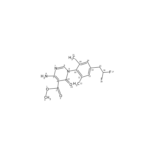 COC(=O)c1c(N)ncn(-c2c(C)cc(CC(F)F)cc2C)c1=O